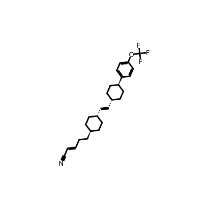 N#CC=CCC[C@H]1CC[C@H](/C=C/[C@H]2CC[C@H](c3ccc(OC(F)(F)F)cc3)CC2)CC1